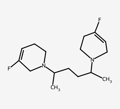 CC(CCC(C)N1CCC=C(F)C1)N1CC=C(F)CC1